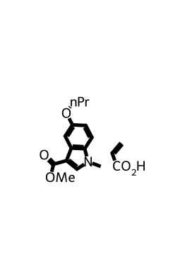 C=CC(=O)O.CCCOc1ccc2c(c1)c(C(=O)OC)cn2C